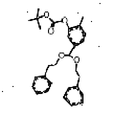 Cc1ccc(C(OCCc2ccccc2)OCCc2ccccc2)cc1OC(=O)OC(C)(C)C